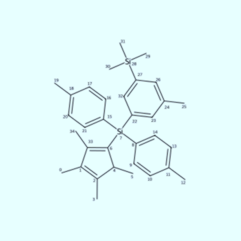 CC1=C(C)C(C)C([Si](c2ccc(C)cc2)(c2ccc(C)cc2)c2cc(C)cc([Si](C)(C)C)c2)=C1C